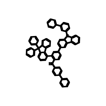 c1ccc(-c2ccc(Nc3ccc(-c4ccc5c(c4)c4ccccc4n5-c4cccc(-c5ccccc5)c4)cc3-c3cccc4c3-c3ccccc3C4(c3ccccc3)c3ccccc3)cc2)cc1